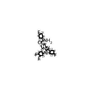 N[C@H](C(=O)N1CCn2c(nc(-c3ccc(F)cc3)c2Nc2ccc(F)c(F)c2)C1)c1ccc(F)cc1